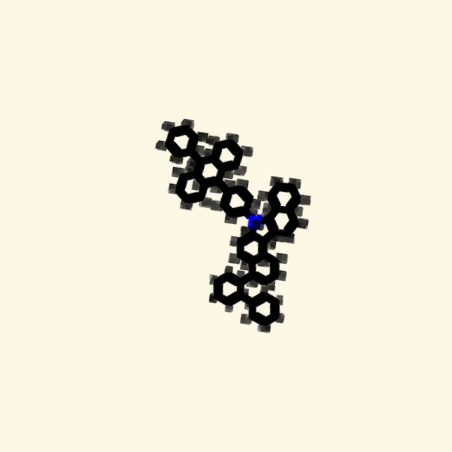 c1ccc(-c2ccccc2-c2cccc3c2ccc2c3c3ccc4ccccc4c3n2-c2ccc(-c3c4ccccc4c(-c4ccccc4)c4ccccc34)cc2)cc1